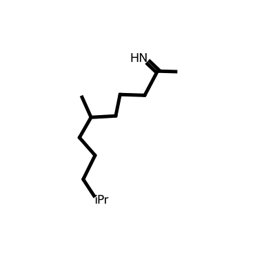 CC(=N)CCCC(C)CCCC(C)C